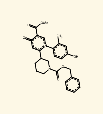 COC(=O)c1cn(-c2ccc(O)cc2C)c(C2CCCN(C(=O)OCc3ccccc3)C2)cc1=O